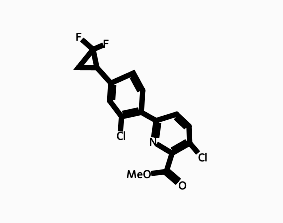 COC(=O)c1nc(-c2ccc(C3CC3(F)F)cc2Cl)ccc1Cl